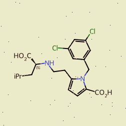 CC(C)C[C@H](NCCc1ccc(C(=O)O)n1Cc1cc(Cl)cc(Cl)c1)C(=O)O